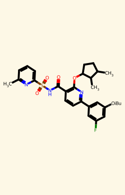 Cc1cccc(S(=O)(=O)NC(=O)c2ccc(-c3cc(F)cc(OCC(C)C)c3)nc2OC2CCC(C)C2C)n1